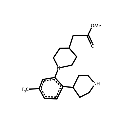 COC(=O)CC1CCN(c2cc(C(F)(F)F)ccc2C2CCNCC2)CC1